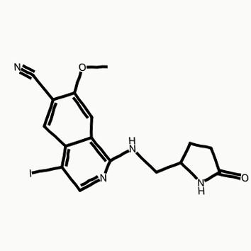 COc1cc2c(NCC3CCC(=O)N3)ncc(I)c2cc1C#N